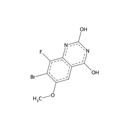 COc1cc2c(O)nc(O)nc2c(F)c1Br